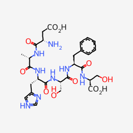 C[C@H](NC(=O)[C@@H](N)CC(=O)O)C(=O)N[C@@H](Cc1c[nH]cn1)C(=O)N[C@@H](CO)C(=O)N[C@@H](Cc1ccccc1)C(=O)N[C@@H](CO)C(=O)O